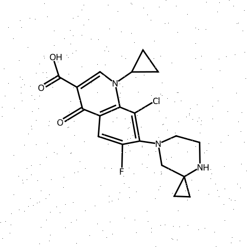 O=C(O)c1cn(C2CC2)c2c(Cl)c(N3CCNC4(CC4)C3)c(F)cc2c1=O